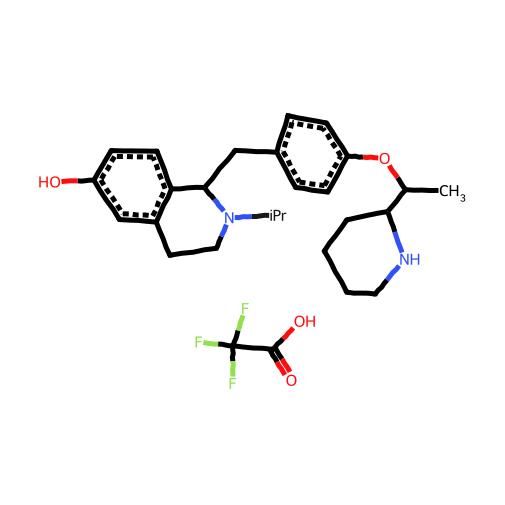 CC(Oc1ccc(CC2c3ccc(O)cc3CCN2C(C)C)cc1)C1CCCCN1.O=C(O)C(F)(F)F